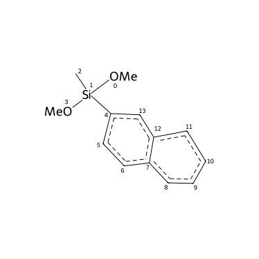 CO[Si](C)(OC)c1ccc2ccccc2c1